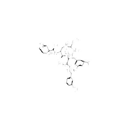 CCCC(CCC)S(=O)(=O)CC(NC(=O)c1cnccn1)C(=O)N[C@@H](Cc1cc(F)cc(F)c1)[C@H](O)CNCc1cccc(CC)c1